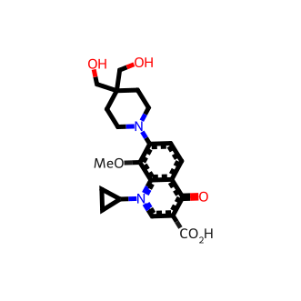 COc1c(N2CCC(CO)(CO)CC2)ccc2c(=O)c(C(=O)O)cn(C3CC3)c12